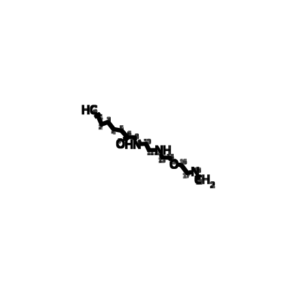 C#CCCCCC(=O)CNCCNCCOCCN=C